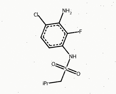 CC(C)CS(=O)(=O)Nc1ccc(Cl)c(N)c1F